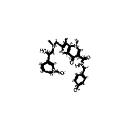 Cc1c(CN(C)CC(O)c2ccc[n+]([O-])c2)sc2c(=O)c(C(=O)NCc3ccc(Cl)cc3)cn(C)c12